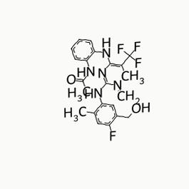 C=N/C(=N\C(Nc1ccccc1NC(C)=O)=C(/C)C(F)(F)F)Nc1cc(CO)c(F)cc1C